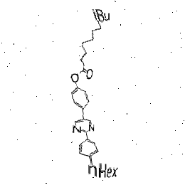 CCCCCCc1ccc(-c2ncc(-c3ccc(OC(=O)CCCCCCC(C)CC)cc3)cn2)cc1